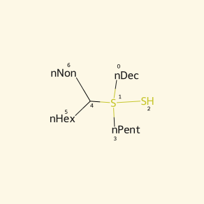 CCCCCCCCCCS(S)(CCCCC)C(CCCCCC)CCCCCCCCC